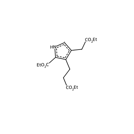 CCOC(=O)CCc1c(CC(=O)OCC)[c][nH]c1C(=O)OCC